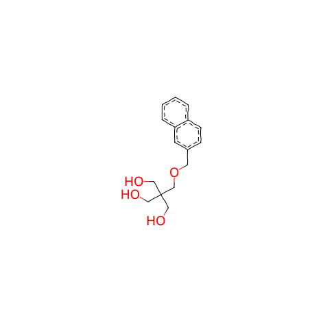 OCC(CO)(CO)COCc1ccc2ccccc2c1